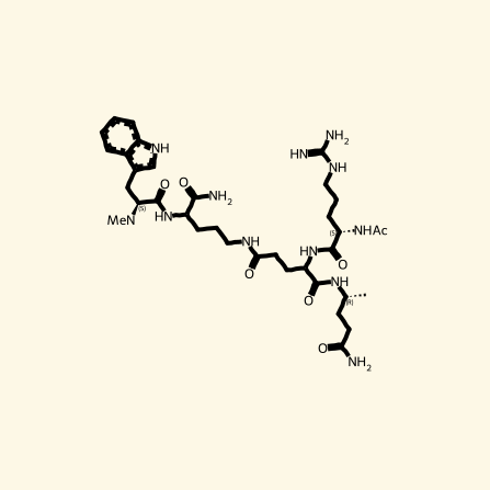 CN[C@@H](Cc1c[nH]c2ccccc12)C(=O)NC(CCCNC(=O)CCC(NC(=O)[C@H](CCCNC(=N)N)NC(C)=O)C(=O)N[C@H](C)CCC(N)=O)C(N)=O